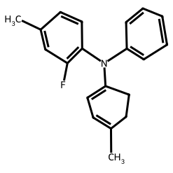 CC1=CC=C(N(c2ccccc2)c2ccc(C)cc2F)CC1